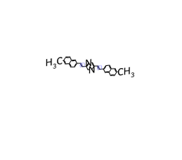 Cc1ccc2cc(/C=C/c3cnc(/C=C/c4ccc5cc(C)ccc5c4)cn3)ccc2c1